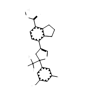 COC(=O)c1ccc(C2=CSC(c3cc(Cl)cc(Cl)c3)(C(F)(F)F)C2)c2c1CCC2